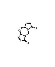 O=C1C=CC(=O)N1CN1C(=O)C=CC1=O